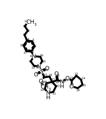 CCCCc1ccc(N2CCN(S(=O)(=O)C(CC3(C(=O)NOC4CCCCO4)CCNCC3)OC)CC2)cc1